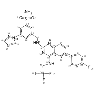 NS(=O)(=O)c1cc(CNc2nc(NCC(F)(F)F)c3nc(-c4ccc(F)cc4)ccc3n2)cc(-n2cncn2)c1